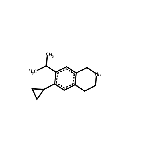 CC(C)c1cc2c(cc1C1CC1)CCNC2